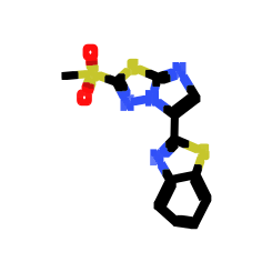 CS(=O)(=O)c1nn2c(-c3nc4ccccc4s3)cnc2s1